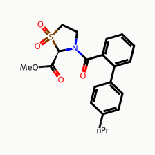 CCCc1ccc(-c2ccccc2C(=O)N2CCS(=O)(=O)[C@@H]2C(=O)OC)cc1